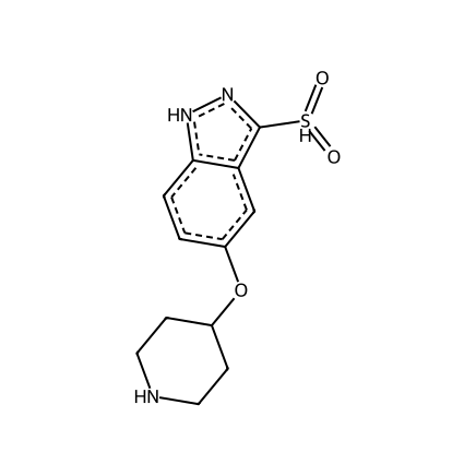 O=[SH](=O)c1n[nH]c2ccc(OC3CCNCC3)cc12